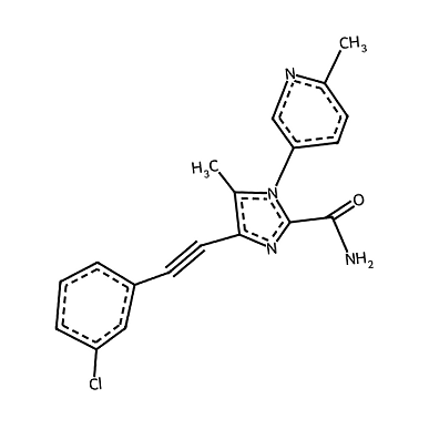 Cc1ccc(-n2c(C(N)=O)nc(C#Cc3cccc(Cl)c3)c2C)cn1